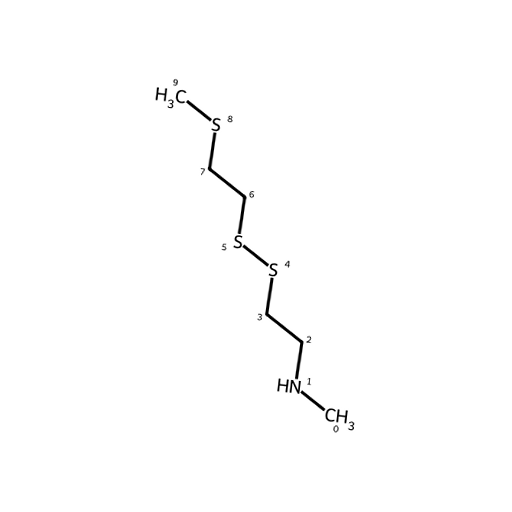 CNCCSSCCSC